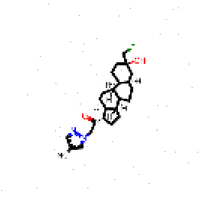 C[C@]12CC[C@H]3[C@@H](CC[C@@H]4C[C@@](O)(CF)CC[C@@H]43)[C@@H]1CC[C@@H]2C(=O)Cn1cc(C#N)cn1